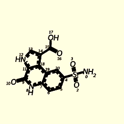 NS(=O)(=O)c1ccc2[nH]c(=O)c3[nH]cc(C(=O)O)c3c2c1